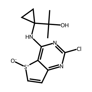 CC(C)(O)C1(Nc2nc(Cl)nc3cc[s+]([O-])c23)CC1